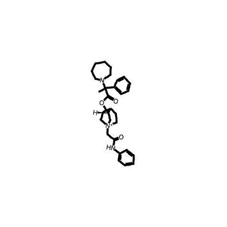 CC(C(=O)O[C@H]1C[N+]2(CC(=O)Nc3ccccc3)CCC1CC2)(c1ccccc1)N1CCCCCC1